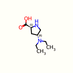 CCN(CC)[C@H]1CN[C@H](C(=O)O)C1